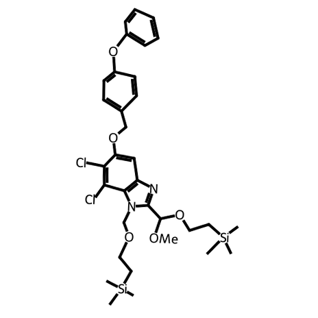 COC(OCC[Si](C)(C)C)c1nc2cc(OCc3ccc(Oc4ccccc4)cc3)c(Cl)c(Cl)c2n1COCC[Si](C)(C)C